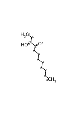 CCCCCCCCC(=O)[C@@H](O)CC